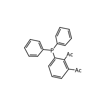 CC(=O)c1cccc(P(c2ccccc2)c2ccccc2)c1C(C)=O